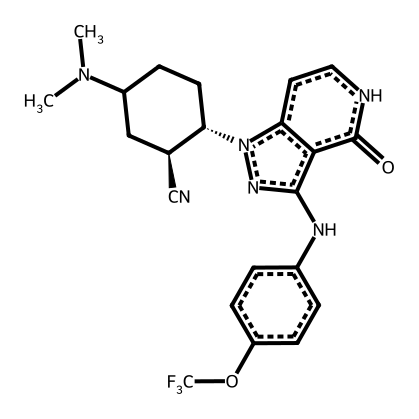 CN(C)C1CC[C@H](n2nc(Nc3ccc(OC(F)(F)F)cc3)c3c(=O)[nH]ccc32)[C@@H](C#N)C1